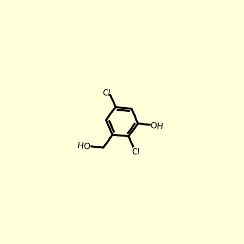 OCc1cc(Cl)cc(O)c1Cl